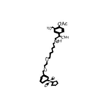 CC(=O)Oc1ccc([C@@H](O)CNCCCCCCOCCOCc2cccc(S(=O)(=O)C3CCCC3)c2)cc1CO